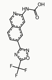 O=C(O)Nc1cc2cc(-c3noc(C(F)(F)F)n3)ccc2cn1